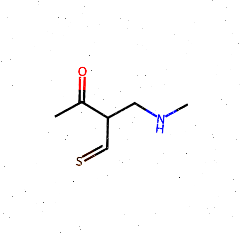 CNCC(C=S)C(C)=O